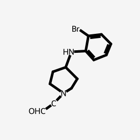 O=CCN1CCC(Nc2ccccc2Br)CC1